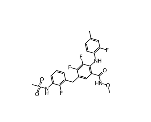 CONC(=O)c1cc(Cc2cccc(NS(C)(=O)=O)c2F)c(F)c(F)c1Nc1ccc(C)cc1F